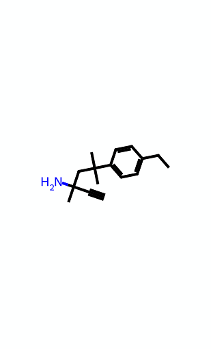 C#CC(C)(N)CC(C)(C)c1ccc(CC)cc1